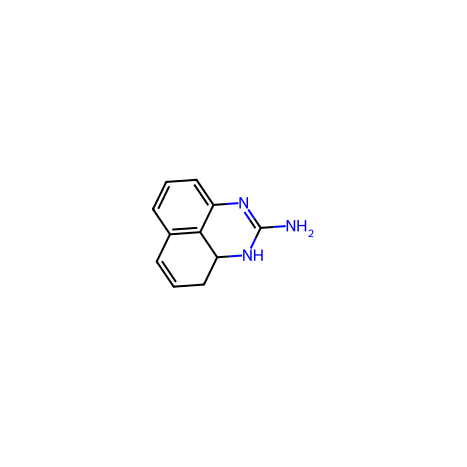 NC1=Nc2cccc3c2C(CC=C3)N1